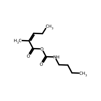 CCC=C(C)C(=O)OC(=O)NCCCC